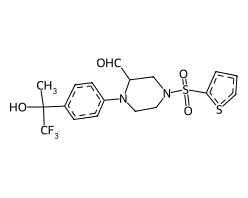 CC(O)(c1ccc(N2CCN(S(=O)(=O)c3cccs3)CC2C=O)cc1)C(F)(F)F